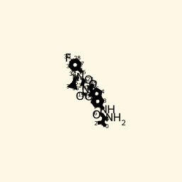 CC(C)[C@@H](N)C(=O)Nc1ccc2c(c1)CCC21OC(=O)N(CC(=O)N(Cc2ccc(F)cc2)[C@@H](C)C2CC2)C1=O